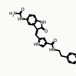 NC(=O)Nc1ccc2c(c1)C(=Cc1cc(C(=O)NCCc3ccncc3)c[nH]1)C(=O)N2